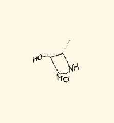 C[C@@H]1NCC1O.Cl